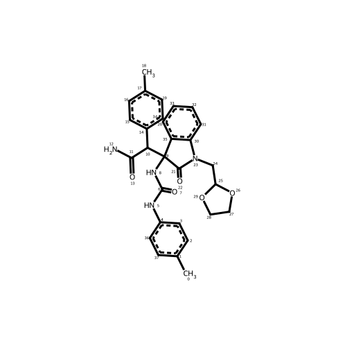 Cc1ccc(NC(=O)NC2(C(C(N)=O)c3ccc(C)cc3)C(=O)N(CC3OCCO3)c3ccccc32)cc1